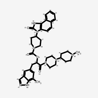 Cc1cc(CC(OC(=O)N2CCC(n3c(=O)[nH]c4c5ccccc5ccc43)CC2)C(=O)N2CCN(C3CCN(C)CC3)CC2)cc2cn[nH]c12